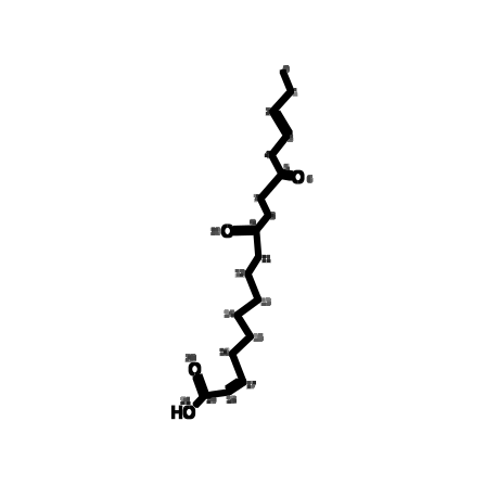 CCC=CCC(=O)CCC(=O)CCCCCC/C=C\C(=O)O